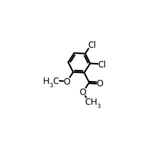 COC(=O)c1c(OC)ccc(Cl)c1Cl